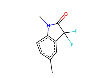 Cc1ccc2c(c1)C(F)(F)C(=O)N2C